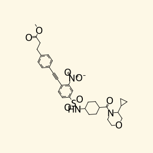 COC(=O)CCc1ccc(C#Cc2ccc(S(=O)(=O)NC3CCC(C(=O)N4CCOCC4C4CC4)CC3)cc2[N+](=O)[O-])cc1